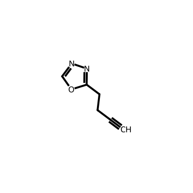 C#CCCc1nnco1